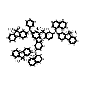 CC1(C)C2=C(C=CC(N(c3ccc4c(c3)C(C)(C)c3ccccc3-4)c3cccc4ccccc34)C2)n2c3c(c4cc(N(c5ccccc5)c5ccc6c(c5)C(C)(C)c5ccccc5-6)cc1c42)CC(N(C1=c2ccccc2=CCC1)c1ccc2c(c1)C(C)(C)c1ccccc1-2)C=C3